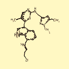 Cc1cnc(Nc2cc(C)n(C)n2)nc1-c1c[nH]c2c(NCCCl)cccc12